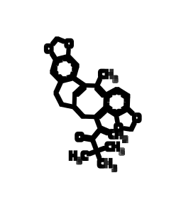 C=C(C(=O)C(C)(C)C)/C1=c2\c3c(cc\c2=C(/C)C2=CC(CCc4cc5c(cc42)OCO5)C1)OCO3